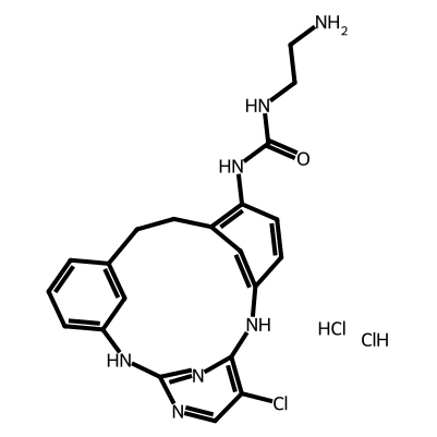 Cl.Cl.NCCNC(=O)Nc1ccc2cc1CCc1cccc(c1)Nc1ncc(Cl)c(n1)N2